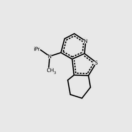 CC(C)N(C)c1ccnc2sc3c(c12)CCCC3